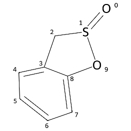 O=S1Cc2ccccc2O1